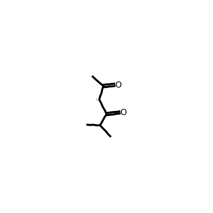 CC(=O)[CH]C(=O)C(C)C